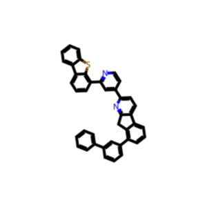 c1ccc(-c2cccc(-c3cccc4c3Cc3nc(-c5ccnc(-c6cccc7c6sc6ccccc67)c5)ccc3-4)c2)cc1